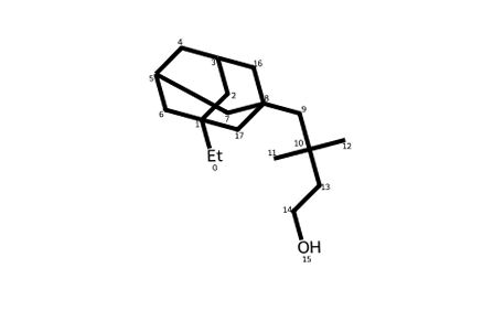 CCC12CC3CC(C1)CC(CC(C)(C)CCO)(C3)C2